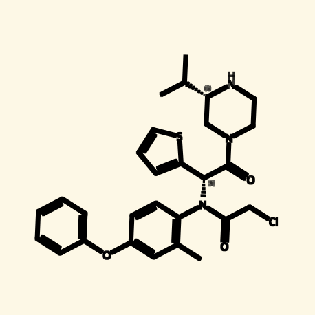 Cc1cc(Oc2ccccc2)ccc1N(C(=O)CCl)[C@@H](C(=O)N1CCN[C@@H](C(C)C)C1)c1cccs1